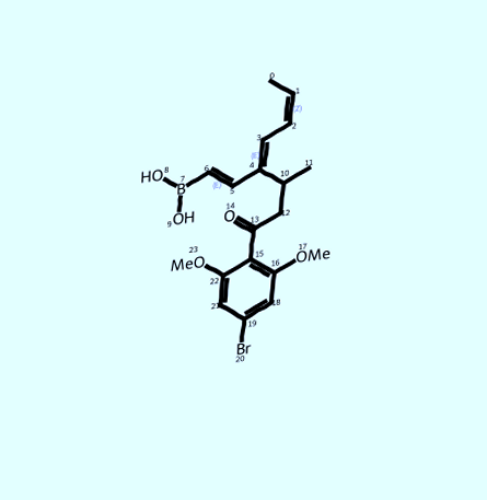 C\C=C/C=C(/C=C/B(O)O)C(C)CC(=O)c1c(OC)cc(Br)cc1OC